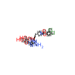 Nc1nc(C#CCC2CCN(C(=O)Oc3ccc(Cl)c(Cl)c3)CC2)nc2c1ncn2[C@@H]1O[C@H](CO)C(O)C1O